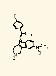 CC(=Cn1c2c(c3cc(N(C)C)ccc31)CN(C)CC2)c1ccc(F)cc1